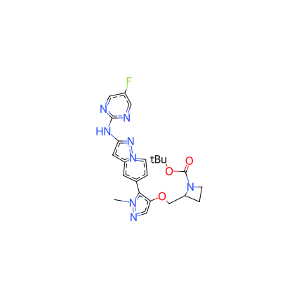 Cn1ncc(OCC2CCN2C(=O)OC(C)(C)C)c1-c1ccn2nc(Nc3ncc(F)cn3)cc2c1